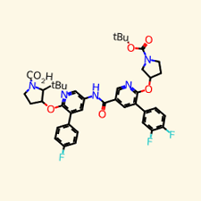 CC(C)(C)OC(=O)N1CCC(Oc2ncc(C(=O)Nc3cnc(OC4CCN(C(=O)O)C4C(C)(C)C)c(-c4ccc(F)cc4)c3)cc2-c2ccc(F)c(F)c2)C1